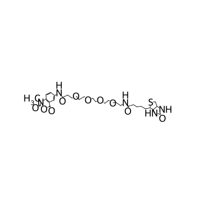 Cn1c(=O)oc(=O)c2cc(NC(=O)CCOCCOCCOCCOCCNC(=O)CCCCC3SCC4NC(=O)NC43)ccc21